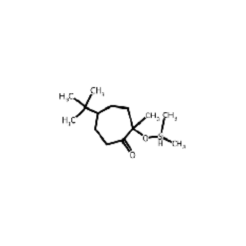 C[SiH](C)OC1(C)CCC(C(C)(C)C)CCC1=O